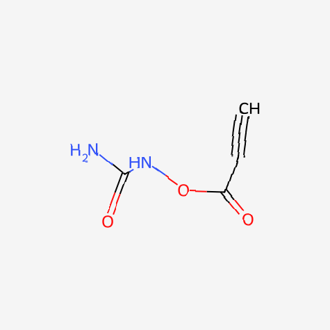 C#CC(=O)ONC(N)=O